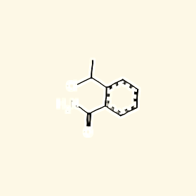 CC(Cl)c1ccccc1C(N)=O